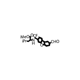 COC(=O)C(CC(C)C)NC(c1ccc2c(c1)oc1ccc(C=O)cc12)C(F)(F)F